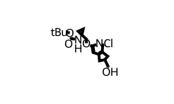 CC(C)(C)OC(=O)NC1(COc2cc3c(c(Cl)n2)CC(CO)C3)CC1